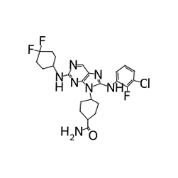 NC(=O)C1CCC(n2c(Nc3cccc(Cl)c3F)nc3cnc(NC4CCC(F)(F)CC4)nc32)CC1